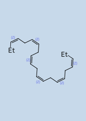 [CH2]C/C=C\C/C=C\C/C=C\C/C=C\C/C=C\C/C=C\CC